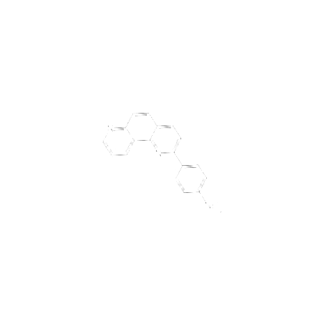 Nc1ccc(-c2ccc3ccc4ncccc4c3n2)cc1